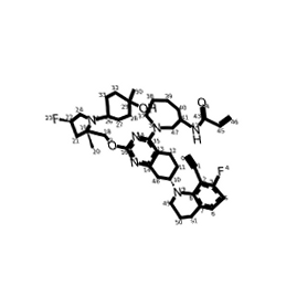 C#Cc1c(F)ccc2c1N([C@H]1CCc3c(nc(OC[C@]4(C)C[C@@H](F)CN4C4CCC(C)(O)CC4)nc3N3CCCCC(NC(=O)C=C)C3)C1)CCC2